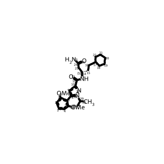 COc1cccc(OC)c1-c1cc(C(=O)N[C@@H](CCC2CCCCC2)CC(N)=O)nn1C(C)C(C)C